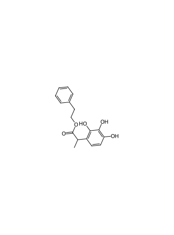 CC(C(=O)OCCc1ccccc1)c1ccc(O)c(O)c1O